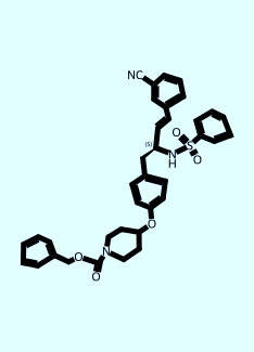 N#Cc1cccc(C=C[C@H](Cc2ccc(OC3CCN(C(=O)OCc4ccccc4)CC3)cc2)NS(=O)(=O)c2ccccc2)c1